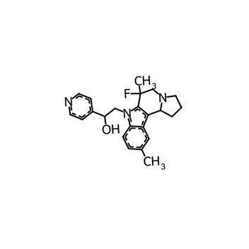 Cc1ccc2c(c1)c1c(n2CC(O)c2ccncc2)C(C)(F)CN2CCCC12